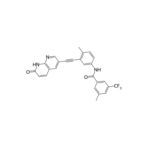 Cc1cc(C(=O)Nc2ccc(C)c(C#Cc3cnc4[nH]c(=O)ccc4c3)c2)cc(C(F)(F)F)c1